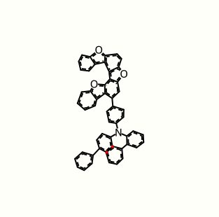 c1ccc(-c2ccc(N(c3ccc(-c4cc5oc6ccc7oc8ccccc8c7c6c5c5oc6ccccc6c45)cc3)c3ccccc3-c3ccccc3)cc2)cc1